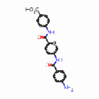 Nc1ccc(C(=O)Nc2cbc(C(=O)Nc3ccc(C(=O)O)cc3)cc2)cc1